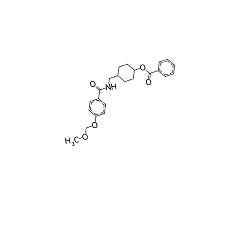 COCOc1ccc(C(=O)NCC2CCC(OC(=O)c3ccccc3)CC2)cc1